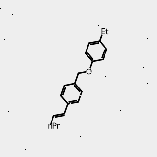 CCCC=Cc1ccc(COc2ccc(CC)cc2)cc1